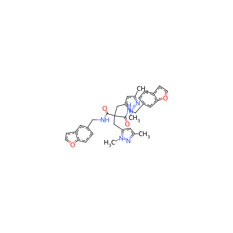 Cc1cc(CC(Cc2cc(C)nn2C)(C(=O)NCc2ccc3occc3c2)C(=O)NCc2ccc3ccoc3c2)n(C)n1